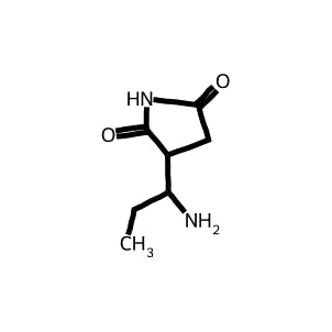 CCC(N)C1CC(=O)NC1=O